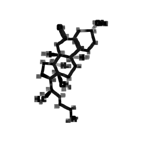 CC(=O)O[C@@H]1CCC2=C(C1)C(=O)C[C@@H]1[C@@H]2CC[C@]2(C)[C@@H]([C@H](C)CCCC(C)C)CC[C@@H]12